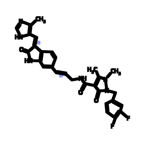 Cc1nc[nH]c1/C=C1\C(=O)Nc2cc(/C=C/CNC(=O)c3c(C)n(C)n(Cc4ccc(F)c(F)c4)c3=O)ccc21